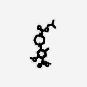 COc1cc(N2CCCN(C(=O)OCC(C)C)CC2)c(C)cc1[N+](=O)[O-]